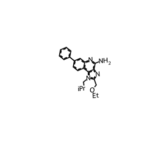 CCOCc1nc2c(N)nc3cc(-c4ccccc4)ccc3c2n1CC(C)C